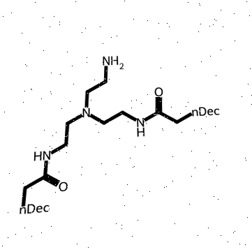 CCCCCCCCCCCC(=O)NCCN(CCN)CCNC(=O)CCCCCCCCCCC